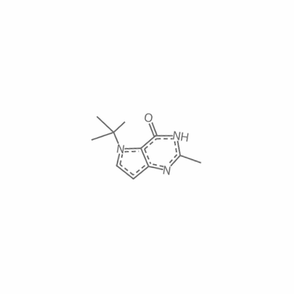 Cc1nc2ccn(C(C)(C)C)c2c(=O)[nH]1